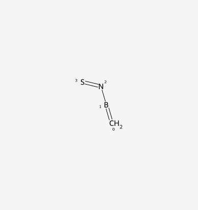 C=BN=S